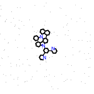 c1ccc(N2c3cccc4cccc(c34)-c3ccc4c(c32)c2ccccc2n4-c2cc(-c3ccccn3)cc(-c3ccccn3)c2)cc1